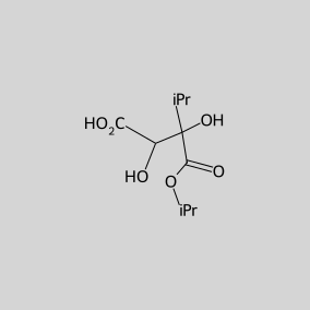 CC(C)OC(=O)C(O)(C(C)C)C(O)C(=O)O